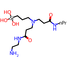 CCCNC(=O)CCN(CCC[Si](O)(O)O)CCC(=O)NCCN